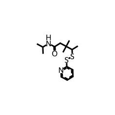 CC(C)NC(=O)CC(C)(C)C(C)SSc1ccccn1